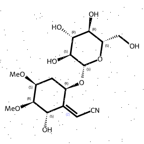 CO[C@H]1[C@@H](OC)C[C@@H](O[C@H]2O[C@@H](CO)[C@H](O)[C@@H](O)[C@@H]2O)/C(=C\C#N)[C@@H]1O